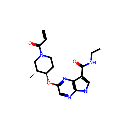 C=CC(=O)N1CC[C@@H](Oc2cnc3[nH]cc(C(=O)NCC)c3n2)[C@H](C)C1